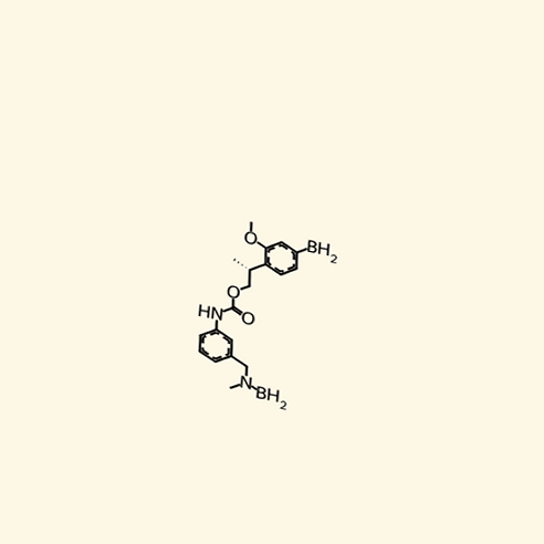 Bc1ccc([C@@H](C)COC(=O)Nc2cccc(CN(B)C)c2)c(OC)c1